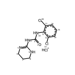 Cl.O=C(NC1=NCCCN1)Nc1c(Cl)cccc1Cl